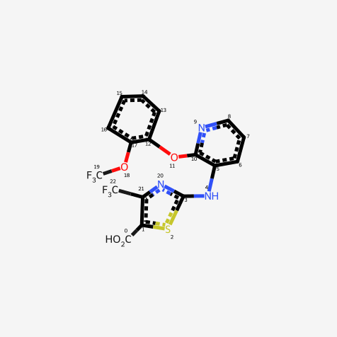 O=C(O)c1sc(Nc2cccnc2Oc2ccccc2OC(F)(F)F)nc1C(F)(F)F